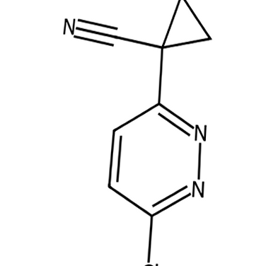 N#CC1(c2ccc(Cl)nn2)CC1